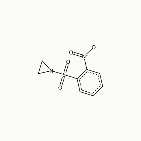 O=[N+]([O-])c1ccccc1S(=O)(=O)N1CC1